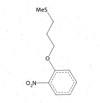 CSCCCOc1ccccc1[N+](=O)[O-]